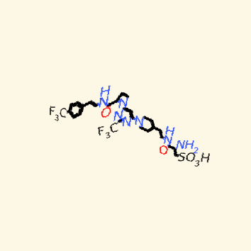 NC(CS(=O)(=O)O)C(=O)NCCC1CCN(c2cc(N3CCC3C(=O)NCCc3ccc(C(F)(F)F)cc3)nc(C(F)(F)F)n2)CC1